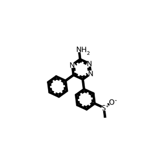 C[S+]([O-])c1cccc(-c2nnc(N)nc2-c2ccccc2)c1